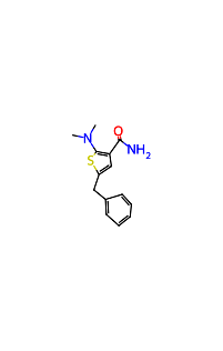 CN(C)c1sc(Cc2ccccc2)cc1C(N)=O